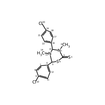 CN1C(=S)SC(c2ccc(Cl)cc2)N(C)C1c1ccc(Cl)cc1